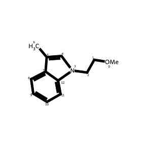 COCCn1cc(C)c2c[c]ccc21